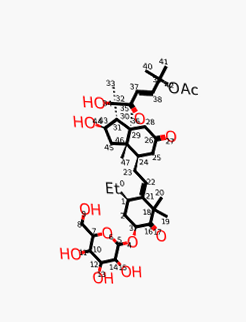 CC[C@@H]1C[C@H](OC2OC(CO)C(O)C(O)C2O)C(=O)C(C)(C)/C1=C/C[C@@H]1CC(=O)C[C@]2(C)[C@@H]([C@@](C)(O)C(=O)/C=C/C(C)(C)OC(C)=O)[C@H](O)C[C@@]12C